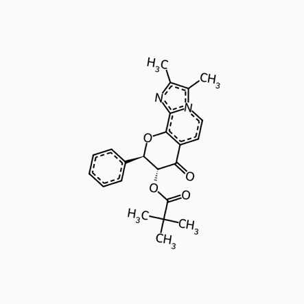 Cc1nc2c3c(ccn2c1C)C(=O)[C@H](OC(=O)C(C)(C)C)[C@@H](c1ccccc1)O3